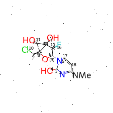 CNC1=NC(O)N([C@@H]2O[C@]3(CCl)C(O)[C@@]3(O)[C@H]2F)C=C1